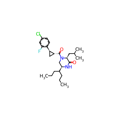 CCCC(CCC)[C@H]1CN(C(=O)[C@@H]2C[C@H]2c2ccc(Cl)cc2F)[C@@H](CC(C)C)C(=O)N1